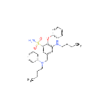 CCCCNc1cc(CN(CCCC)c2ccccc2)cc(S(N)(=O)=O)c1Oc1ccccc1